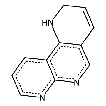 C1=Cc2cnc3ncccc3c2NC1